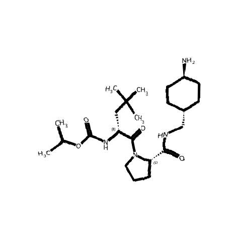 CC(C)OC(=O)N[C@H](CC(C)(C)C)C(=O)N1CCC[C@H]1C(=O)NC[C@H]1CC[C@H](N)CC1